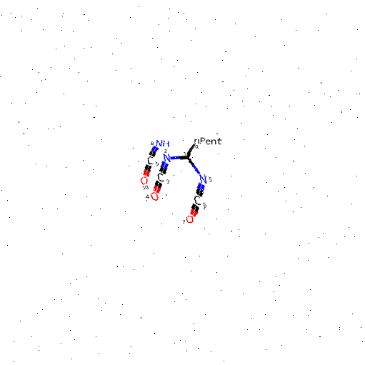 CCCCCC(N=C=O)N=C=O.N=C=O